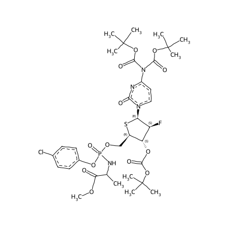 COC(=O)C(C)NP(=O)(OC[C@H]1S[C@@H](n2ccc(N(C(=O)OC(C)(C)C)C(=O)OC(C)(C)C)nc2=O)[C@@H](F)[C@@H]1OC(=O)OC(C)(C)C)Oc1ccc(Cl)cc1